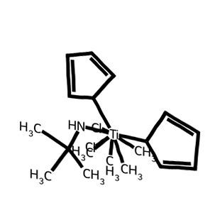 CC(C)(C)[NH][Ti]([CH3])([CH3])([CH3])([CH3])([Cl])([Cl])([CH]1C=CC=C1)[CH]1C=CC=C1